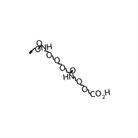 C#CCOC(=O)NCCOCCOCCOCCC(=O)NCCOCCOCCC(=O)O